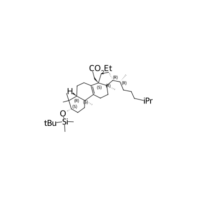 CCOC(=O)C[C@@]12CC[C@H]([C@H](C)CCCC(C)C)[C@@]1(C)CCC1=C2CC[C@H]2C(C)(C)[C@@H](O[Si](C)(C)C(C)(C)C)CC[C@]12C